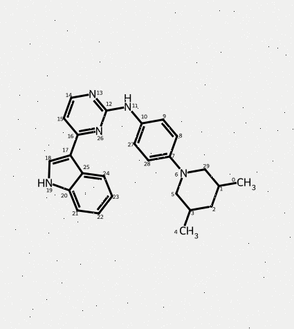 CC1CC(C)CN(c2ccc(Nc3nccc(-c4c[nH]c5ccccc45)n3)cc2)C1